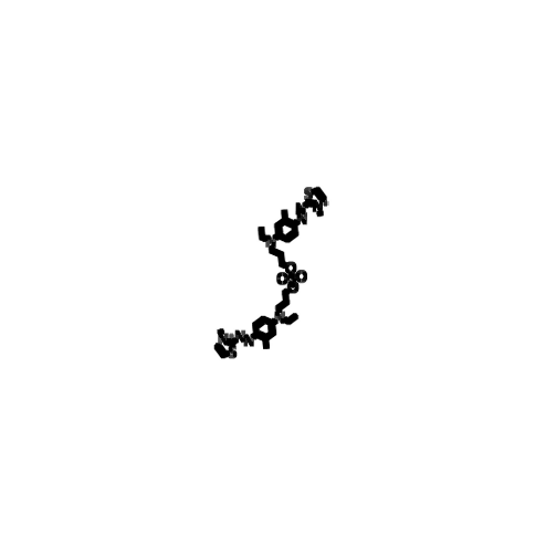 CCN(CCCOS(=O)(=O)OCCCN(CC)c1ccc(/N=N/c2scc[n+]2C)c(C)c1)c1ccc(/N=N/c2scc[n+]2C)c(C)c1